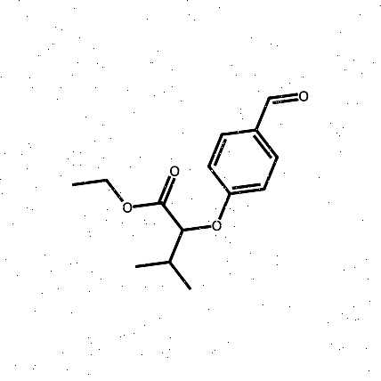 CCOC(=O)C(Oc1ccc(C=O)cc1)C(C)C